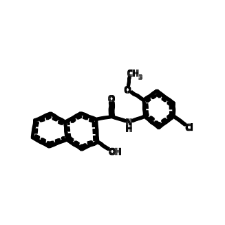 COc1ccc(Cl)cc1NC(=O)c1cc2ccccc2cc1O